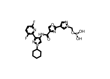 O=C(Nc1cn(C2CCCCC2)nc1-c1nc(F)ccc1F)c1coc(-c2cnn(COP(O)O)c2)n1